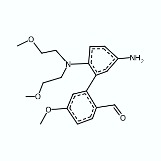 COCCN(CCOC)c1ccc(N)cc1-c1cc(OC)ccc1C=O